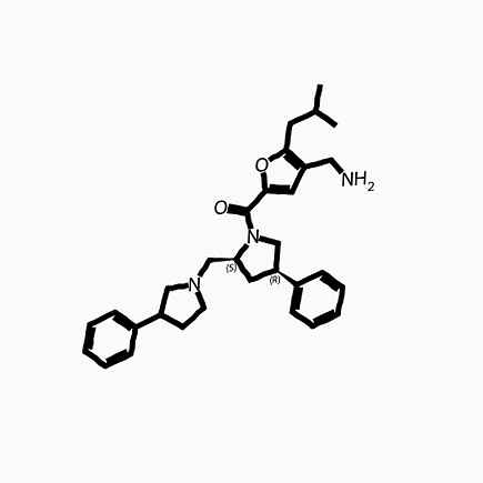 CC(C)Cc1oc(C(=O)N2C[C@@H](c3ccccc3)C[C@H]2CN2CCC(c3ccccc3)C2)cc1CN